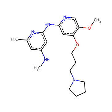 CNc1cc(C)nc(Nc2cc(OCCCN3CCCC3)c(OC)cn2)c1